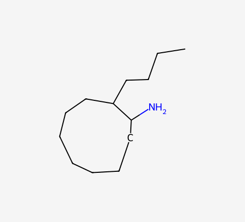 CCCCC1CCCCCCCC1N